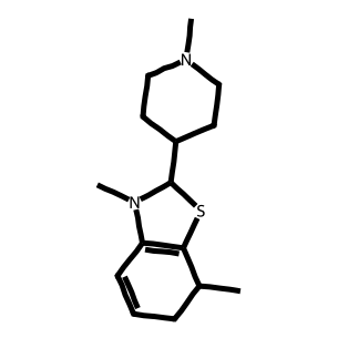 CC1CC=CC2=C1SC(C1CCN(C)CC1)N2C